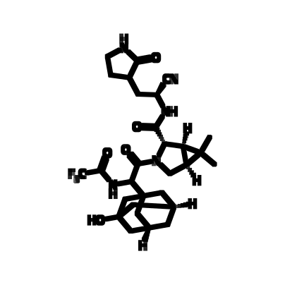 CC1(C)[C@@H]2[C@@H](C(=O)N[C@H](C#N)CC3CCNC3=O)N(C(=O)C(NC(=O)C(F)(F)F)C34C[C@@H]5C[C@@H](CC(O)(C5)C3)C4)C[C@@H]21